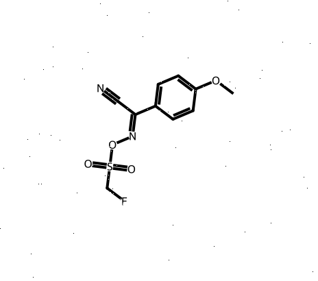 COc1ccc(/C(C#N)=N/OS(=O)(=O)CF)cc1